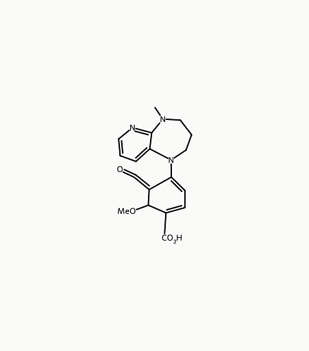 COC1C(=C=O)C(N2CCCN(C)c3ncccc32)=CC=C1C(=O)O